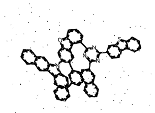 c1ccc(-c2cccc(-c3cc4c(cc3-n3c5ccccc5c5cc6ccccc6cc53)oc3cccc(-c5nc(-c6ccc7ccccc7c6)nc(-c6ccc7c(c6)sc6ccccc67)n5)c34)c2)cc1